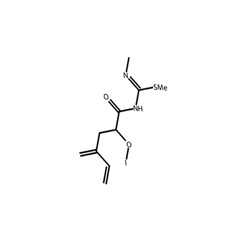 C=CC(=C)CC(OI)C(=O)N/C(=N/C)SC